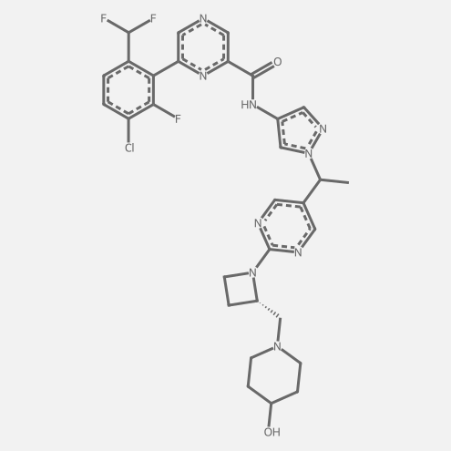 CC(c1cnc(N2CC[C@H]2CN2CCC(O)CC2)nc1)n1cc(NC(=O)c2cncc(-c3c(C(F)F)ccc(Cl)c3F)n2)cn1